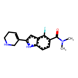 CN(C)C(=O)c1ccc2[nH]c(C3=CCCNC3)cc2c1F